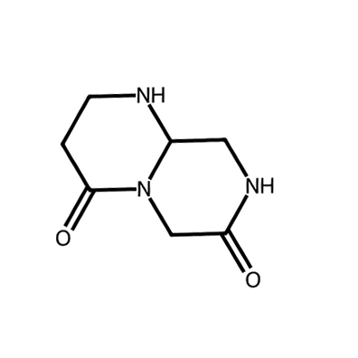 O=C1CN2C(=O)CCNC2CN1